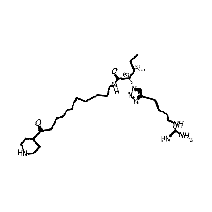 CC[C@H](C)[C@@H](C(=O)NCCCCCCCCCCC(=O)C1CCNCC1)n1cc(CCCCNC(=N)N)nn1